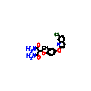 CC(Oc1ccc(Oc2ccc3ccc(Cl)cc3n2)cc1)C(C(N)=O)C(N)=O